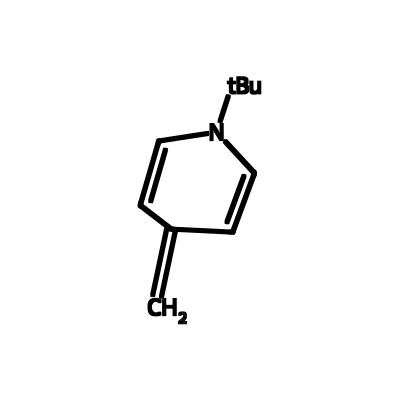 C=C1C=CN(C(C)(C)C)C=C1